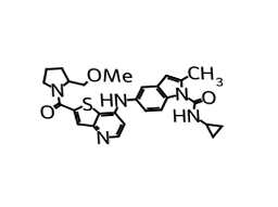 COCC1CCCN1C(=O)c1cc2nccc(Nc3ccc4c(c3)cc(C)n4C(=O)NC3CC3)c2s1